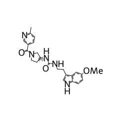 COc1ccc2[nH]cc(CCNC(=O)N[C@@H]3CCN(C(=O)c4ccc(C)nc4)C3)c2c1